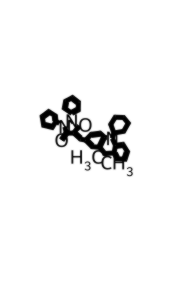 CC1(C)c2ccccc2N(C2CCCCC2)c2ccc(C=C3C(=O)N(c4ccccc4)N(c4ccccc4)C3=O)cc21